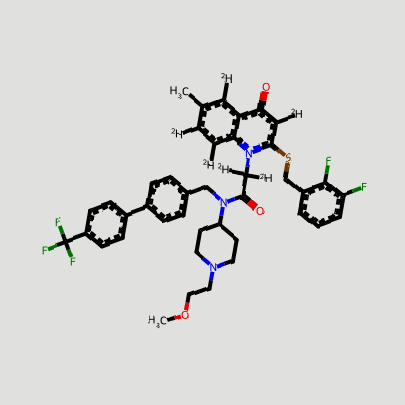 [2H]c1c(C)c([2H])c2c(=O)c([2H])c(SCc3cccc(F)c3F)n(C([2H])([2H])C(=O)N(Cc3ccc(-c4ccc(C(F)(F)F)cc4)cc3)C3CCN(CCOC)CC3)c2c1[2H]